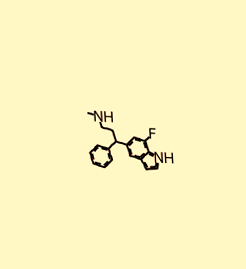 CNCCC(c1ccccc1)c1cc(F)c2[nH]ccc2c1